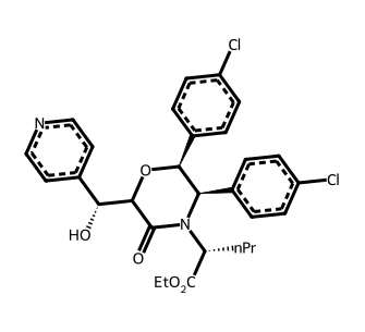 CCC[C@H](C(=O)OCC)N1C(=O)C([C@H](O)c2ccncc2)O[C@@H](c2ccc(Cl)cc2)[C@H]1c1ccc(Cl)cc1